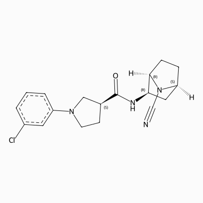 N#CN1[C@H]2CC[C@@H]1[C@H](NC(=O)[C@H]1CCN(c3cccc(Cl)c3)C1)C2